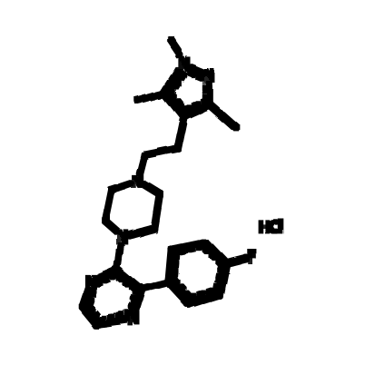 Cc1nn(C)c(C)c1CCN1CCN(c2nccnc2-c2ccc(F)cc2)CC1.Cl